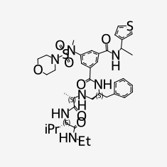 CCNC(=O)[C@@H](NC(=O)[C@H](C)NC[C@H](Cc1ccccc1)NC(=O)c1cc(C(=O)NC(C)c2ccsc2)cc(N(C)S(=O)(=O)N2CCOCC2)c1)C(C)C